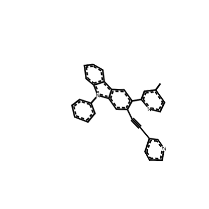 Cc1ccnc(-c2cc3c4ccccc4n(-c4ccccc4)c3cc2C#Cc2cccnc2)c1